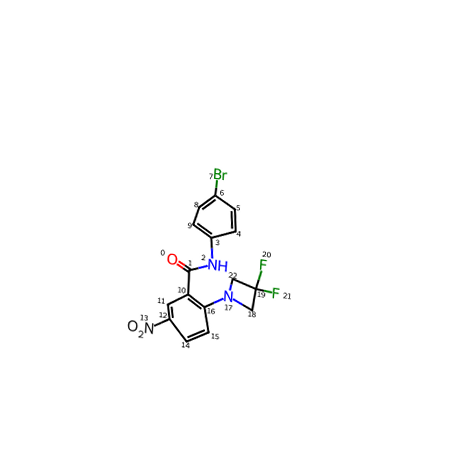 O=C(Nc1ccc(Br)cc1)c1cc([N+](=O)[O-])ccc1N1CC(F)(F)C1